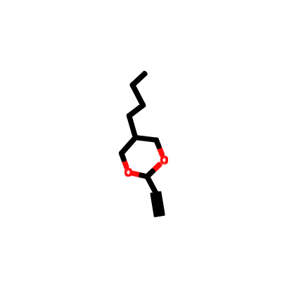 C#CC1OCC(CCCC)CO1